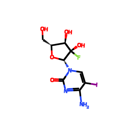 Nc1nc(=O)n([C@@H]2O[C@H](CO)[C@@H](O)[C@]2(O)F)cc1I